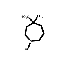 CC(=O)N1CCCC(C)(C(=O)O)CC1